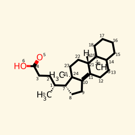 C[C@H](CCC(=O)O)[C@H]1CCC2=C3CCC4CCCC[C@]4(C)[C@H]3CC[C@@]21C